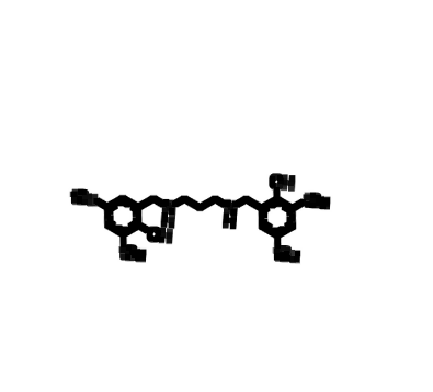 CC(C)(C)c1cc(CNCCCNCc2cc(C(C)(C)C)cc(C(C)(C)C)c2O)c(O)c(C(C)(C)C)c1